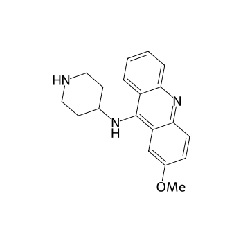 COc1ccc2nc3ccccc3c(NC3CCNCC3)c2c1